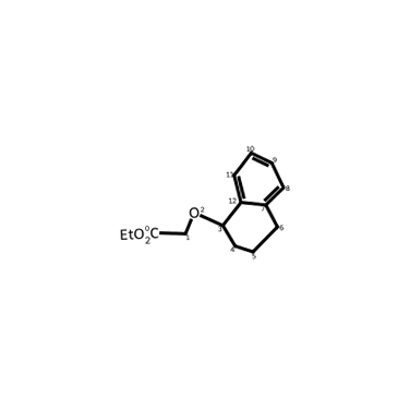 CCOC(=O)COC1CCCc2ccccc21